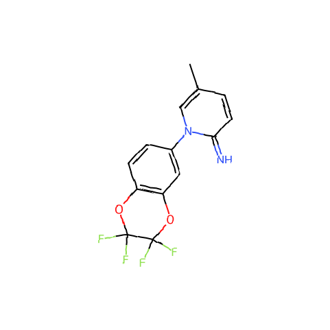 Cc1ccc(=N)n(-c2ccc3c(c2)OC(F)(F)C(F)(F)O3)c1